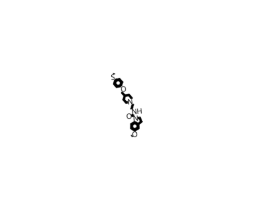 COc1ccc2c(c1)CCN2C(=O)NCCN1CCC(COc2ccc(SC)cc2)CC1